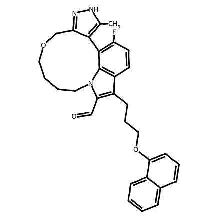 Cc1[nH]nc2c1-c1c(F)ccc3c(CCCOc4cccc5ccccc45)c(C=O)n(c13)CCCCOC2